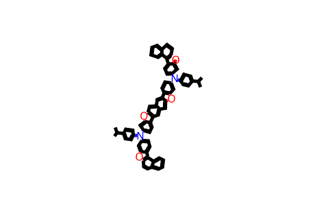 CC(C)c1ccc(N(c2ccc3c(c2)oc2cc4cc5c(cc4cc23)oc2cc(N(c3ccc(C(C)C)cc3)c3ccc4c(c3)oc3ccc6ccccc6c34)ccc25)c2ccc3c(c2)oc2ccc4ccccc4c23)cc1